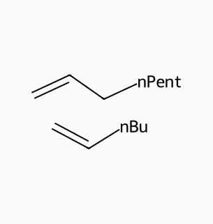 C=CCCCC.C=CCCCCCC